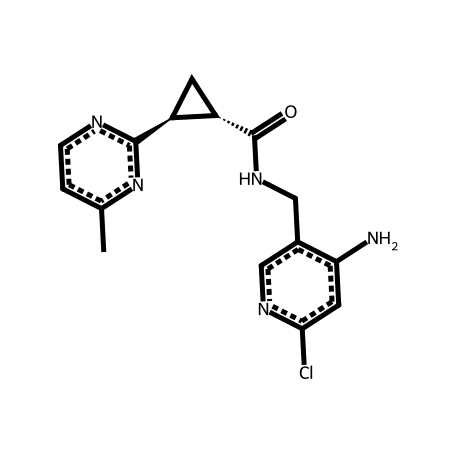 Cc1ccnc([C@H]2C[C@@H]2C(=O)NCc2cnc(Cl)cc2N)n1